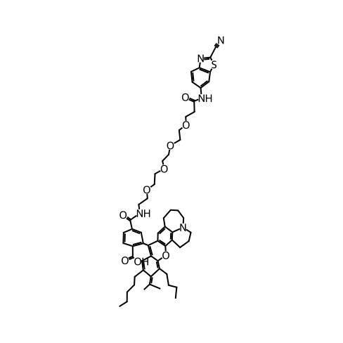 CCCCCc1cc2c(c(CCCC)c1=C(C)C)Oc1c(cc3c4c1CCCN4CCCC3)C=2c1cc(C(=O)NCCOCCOCCOCCOCCC(=O)Nc2ccc3nc(C#N)sc3c2)ccc1C(=O)O